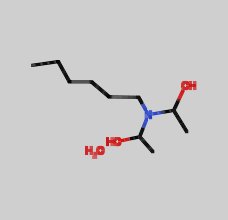 CCCCCCN(C(C)O)C(C)O.O